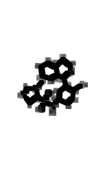 Cn1cncc1S(=O)(=O)Nc1ccc(I)c(-c2nccc3ccccc23)c1